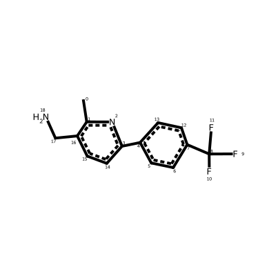 Cc1nc(-c2ccc(C(F)(F)F)cc2)ccc1CN